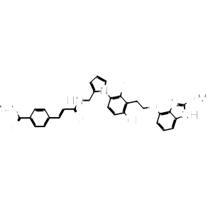 CNC(=O)c1ccc(C=CC(=O)NCc2cccn2-c2ccc(Cl)c(CCOc3cccc4[nH]c(OC)nc34)c2Cl)cc1